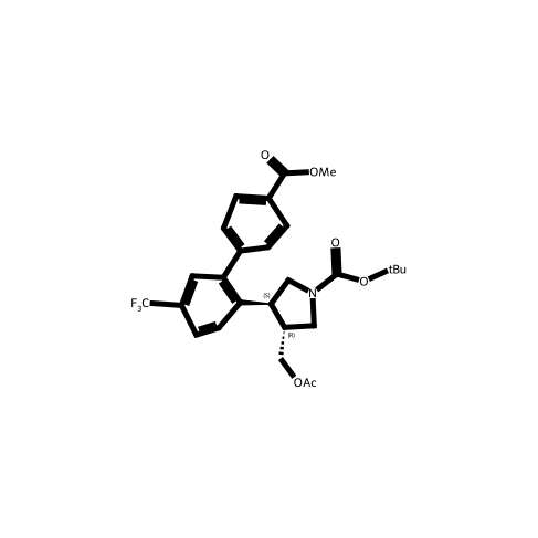 COC(=O)c1ccc(-c2cc(C(F)(F)F)ccc2[C@H]2CN(C(=O)OC(C)(C)C)C[C@@H]2COC(C)=O)cc1